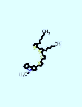 CCCCCCc1ccsc1-c1cc(CCCCCC)c(-c2ccc(-c3ccc(-c4ccc5c(c4)c4ccccc4n5CC)s3)s2)s1